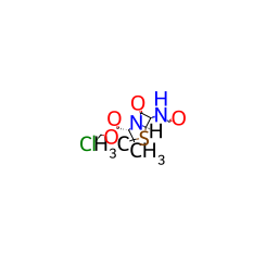 CC1(C)S[C@@H]2[C@H](NC=O)C(=O)N2[C@H]1C(=O)OCCl